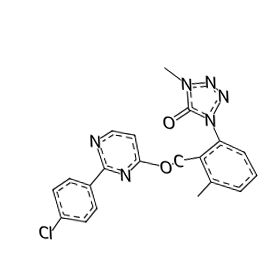 Cc1cccc(-n2nnn(C)c2=O)c1COc1ccnc(-c2ccc(Cl)cc2)n1